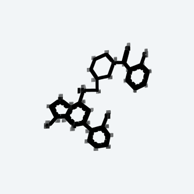 O=C(c1ccccc1Cl)N1CCCC(CNc2cc(-c3ccccc3Cl)nc3c(Br)cnn23)C1